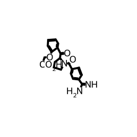 N=C(N)c1ccc(C(=O)N2CCCC2C(=O)c2ccccc2OCC(=O)O)cc1